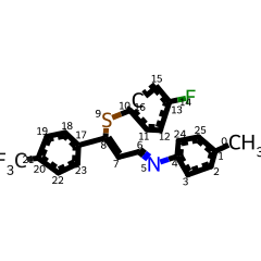 Cc1ccc(N=CC=C(Sc2ccc(F)cc2)c2ccc(C(F)(F)F)cc2)cc1